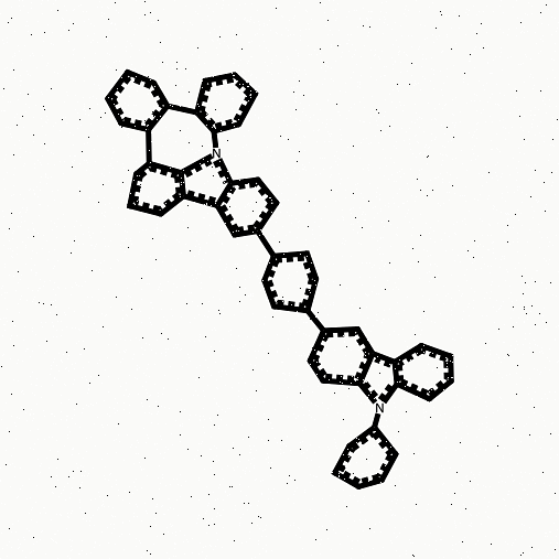 c1ccc(-n2c3ccccc3c3cc(-c4ccc(-c5ccc6c(c5)c5cccc7c5n6-c5ccccc5-c5ccccc5-7)cc4)ccc32)cc1